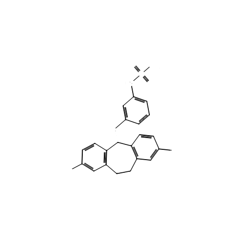 Cc1ccc2c(c1)CCc1cc(F)ccc1[C@H]2Cc1cccc(NS(C)(=O)=O)c1